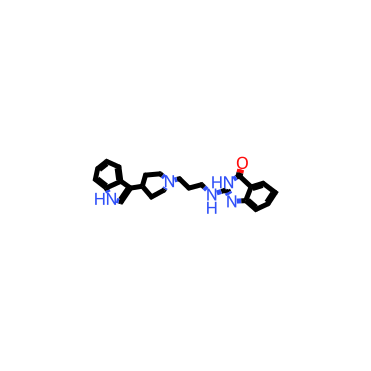 O=c1[nH]c(NCCCN2CCC(c3c[nH]c4ccccc34)CC2)nc2ccccc12